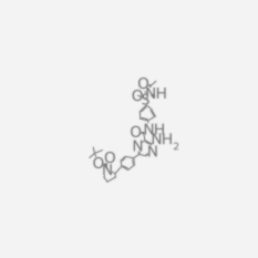 CC(=O)N[S+]([O-])c1ccc(NC(=O)c2nc(-c3ccc(C4CCCN4C(=O)OC(C)(C)C)cc3)cnc2N)cc1